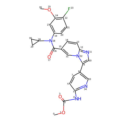 COC(=O)Nc1ccc(-c2cnc3ccc(C(=O)N(c4ccc(F)c(OC)c4)C4CC4)cn23)cn1